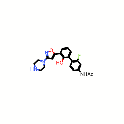 CC(=O)Nc1ccc(-c2cccc(-c3cc(N4CCNCC4)no3)c2O)c(F)c1